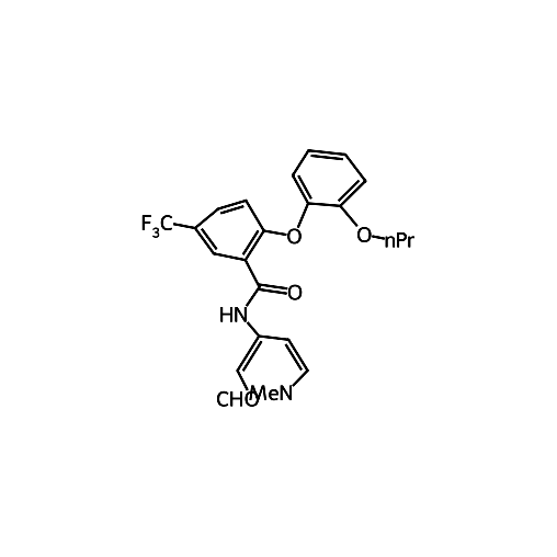 CCCOc1ccccc1Oc1ccc(C(F)(F)F)cc1C(=O)NC(/C=C\NC)=C/C=O